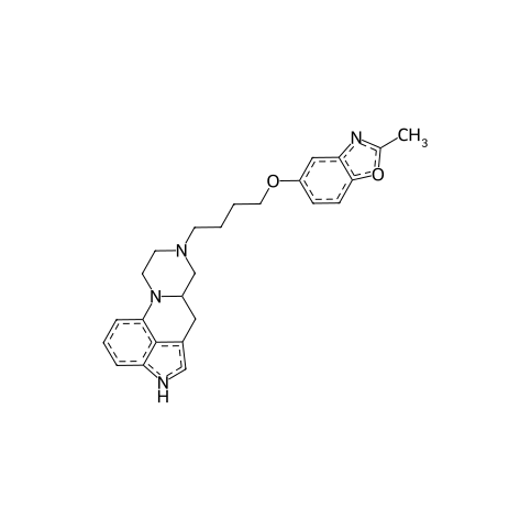 Cc1nc2cc(OCCCCN3CCN4c5cccc6[nH]cc(c56)CC4C3)ccc2o1